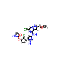 CC(C)NC(=O)O[C@H]1CC[C@@H](c2cc(Nc3nc(Cl)cn4nc(COC(F)(F)F)cc34)n[nH]2)[C@H]1F